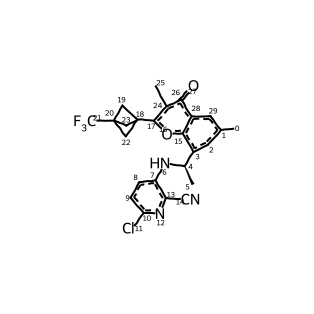 Cc1cc([C@@H](C)Nc2ccc(Cl)nc2C#N)c2oc(C34CC(C(F)(F)F)(C3)C4)c(C)c(=O)c2c1